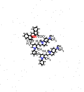 CC1=CC(C=Cc2ccc3cc(N(C)C)ccc3[n+]2C)=C(C)N(c2ccccc2)C1.CC1=CC(C=Cc2ccc3cc(N(C)C)ccc3[n+]2C)=C(C)N(c2ccccc2)C1.O=C([O-])c1cc2ccccc2c(Cc2c(O)c(C(=O)[O-])cc3ccccc23)c1O